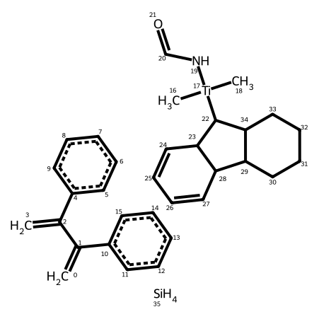 C=C(C(=C)c1ccccc1)c1ccccc1.[CH3][Ti]([CH3])([NH]C=O)[CH]1C2C=CC=CC2C2CCCCC21.[SiH4]